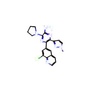 Cn1ccc(-c2nc(N)c(N3CCCC3)nc2-c2cc(Cl)c3ncccc3c2)n1